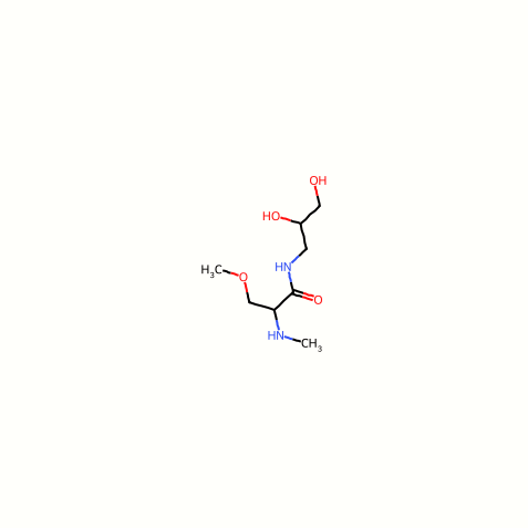 CNC(COC)C(=O)NCC(O)CO